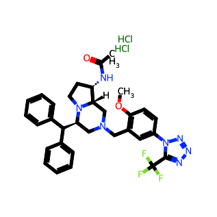 COc1ccc(-n2nnnc2C(F)(F)F)cc1CN1C[C@@H](C(c2ccccc2)c2ccccc2)N2CC[C@H](NC(C)=O)[C@@H]2C1.Cl.Cl